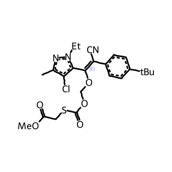 CCn1nc(C)c(Cl)c1/C(OCOC(=O)SCC(=O)OC)=C(\C#N)c1ccc(C(C)(C)C)cc1